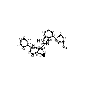 CC(=O)c1ccc(-c2cccc3[nH]c(-c4n[nH]c5ccc(-c6ccncc6)nc45)nc23)s1